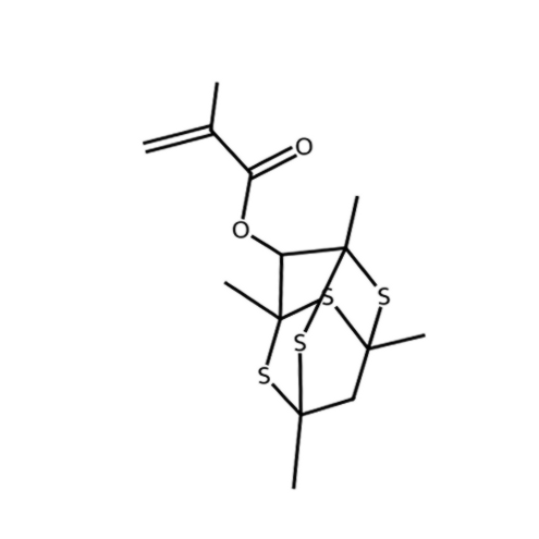 C=C(C)C(=O)OC1C2(C)SC3(C)CC(C)(S2)SC1(C)S3